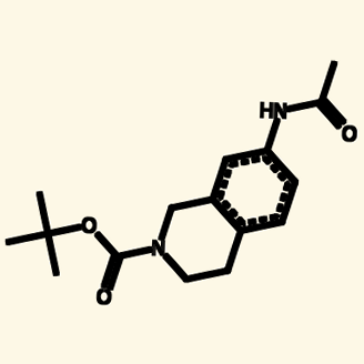 CC(=O)Nc1ccc2c(c1)CN(C(=O)OC(C)(C)C)CC2